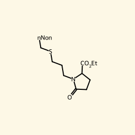 CCCCCCCCCCSCCCN1C(=O)CCC1C(=O)OCC